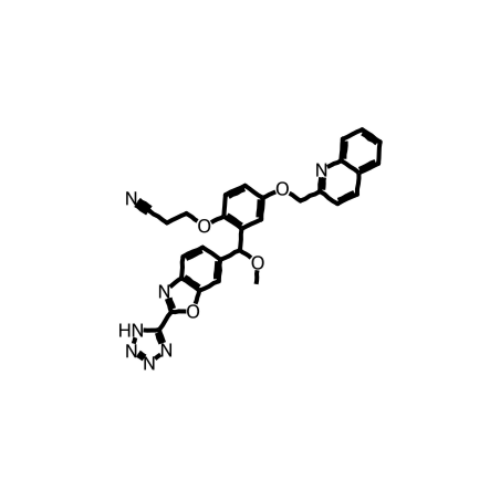 COC(c1ccc2nc(-c3nnn[nH]3)oc2c1)c1cc(OCc2ccc3ccccc3n2)ccc1OCCC#N